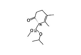 CO[C@@H](OC(C)C)[C@@H]1C(=O)CCC(C)=C1C